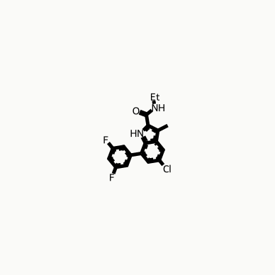 CCNC(=O)c1[nH]c2c(-c3cc(F)cc(F)c3)cc(Cl)cc2c1C